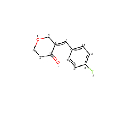 O=C1CCOC/C1=C/c1ccc(F)cc1